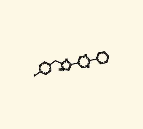 Fc1ccc(Cc2nc(-c3cnc(-c4ccccc4)nc3)c[nH]2)cc1